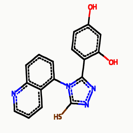 Oc1ccc(-c2nnc(S)n2-c2cccc3ncccc23)c(O)c1